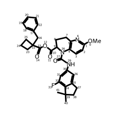 COc1ccc2c(n1)CCC(C(=O)OC(=O)C1(Cc3ccccc3)CCC1)N2C(=O)Nc1cc(F)c2c(c1)CCC2(C)C